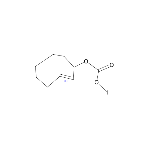 O=C(OI)OC1/C=C/CCCCC1